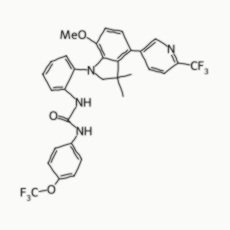 COc1ccc(-c2ccc(C(F)(F)F)nc2)c2c1N(c1ccccc1NC(=O)Nc1ccc(OC(F)(F)F)cc1)CC2(C)C